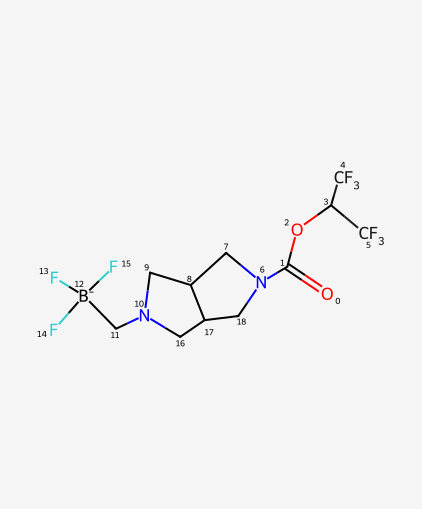 O=C(OC(C(F)(F)F)C(F)(F)F)N1CC2CN(C[B-](F)(F)F)CC2C1